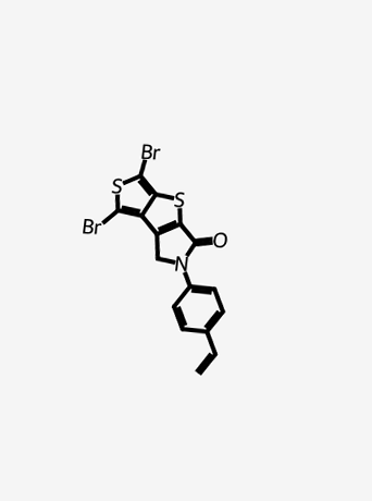 C=Cc1ccc(N2Cc3c(sc4c(Br)sc(Br)c34)C2=O)cc1